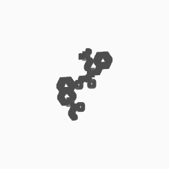 CCC(=O)N1CCc2cccc(OCC(=O)N(CCN(C)C)Cc3ccccc3)c2C1